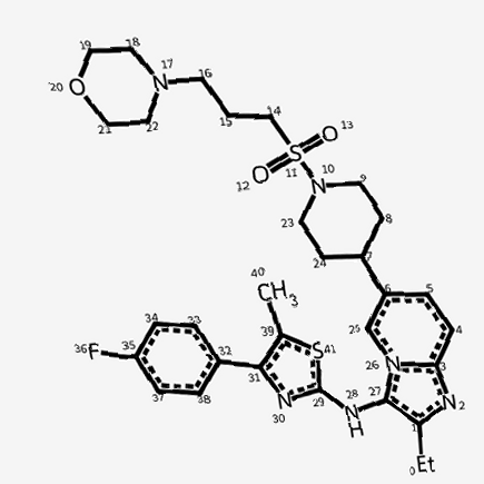 CCc1nc2ccc(C3CCN(S(=O)(=O)CCCN4CCOCC4)CC3)cn2c1Nc1nc(-c2ccc(F)cc2)c(C)s1